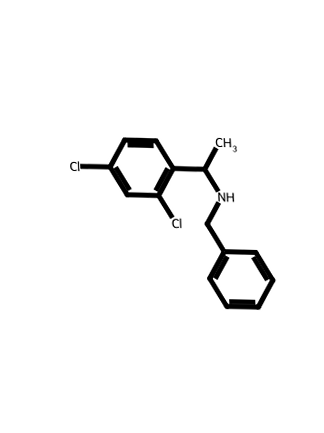 CC(NCc1ccccc1)c1ccc(Cl)cc1Cl